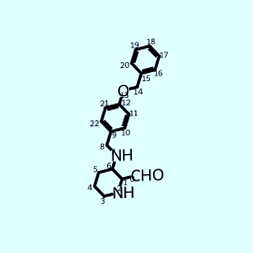 O=CC1NCCCC1NCc1ccc(OCc2ccccc2)cc1